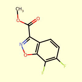 COC(=O)c1noc2c(F)c(F)ccc12